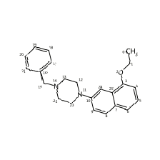 CCOc1cccc2ccc(N3CCN(Cc4ccccc4)CC3)cc12